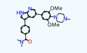 COc1cc(-c2cnc3[nH]cc(-c4ccc(C(=O)N(C)C)cc4)c3c2)cc(OC)c1N1CCN(C)CC1